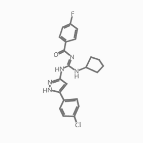 O=C(/N=C(\Nc1cc(-c2ccc(Cl)cc2)[nH]n1)NC1CCCC1)c1ccc(F)cc1